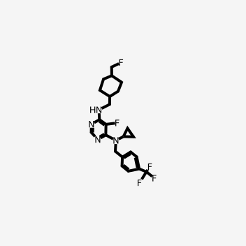 FCC1CCC(CNc2ncnc(N(Cc3ccc(C(F)(F)F)cc3)C3CC3)c2F)CC1